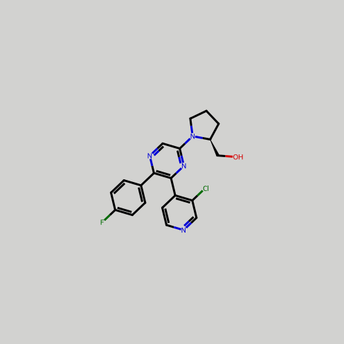 OC[C@@H]1CCCN1c1cnc(-c2ccc(F)cc2)c(-c2ccncc2Cl)n1